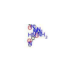 C=CC(=O)N1CCCC(n2nc(C(=O)Nc3ccc(CC(=O)N4CCCC4)cc3C)c3c(N)ncnc32)C1